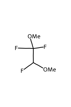 COC(F)C(F)(F)OC